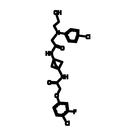 O=C(COc1ccc(Cl)c(F)c1)NC12CC(NC(=O)CN(CCO)c3ccc(Cl)cc3)(C1)C2